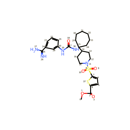 COC(=O)c1ccc(S(=O)(=O)N2CCC(C3(NC(=O)Nc4cccc(C(=N)N)c4)CCCCCC3)CC2)s1